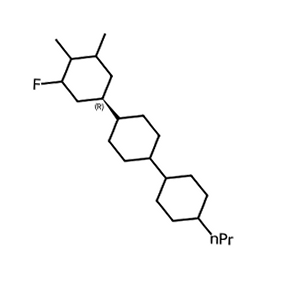 CCCC1CCC(C2CCC([C@@H]3CC(C)C(C)C(F)C3)CC2)CC1